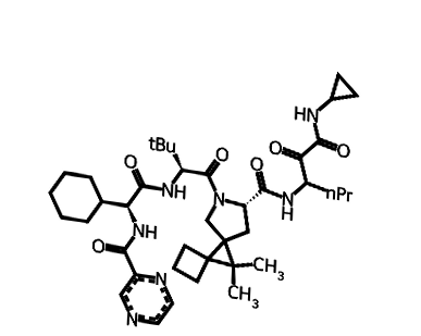 CCCC(NC(=O)[C@@H]1CC2(CN1C(=O)[C@@H](NC(=O)[C@@H](NC(=O)c1cnccn1)C1CCCCC1)C(C)(C)C)C(C)(C)C21CCC1)C(=O)C(=O)NC1CC1